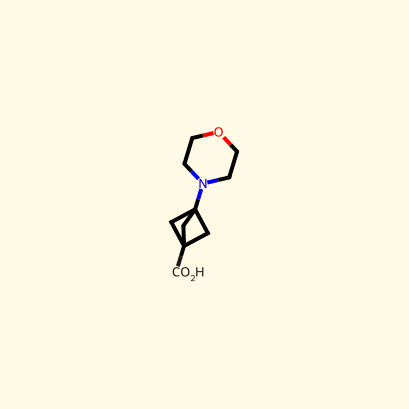 O=C(O)C12CC(N3CCOCC3)(C1)C2